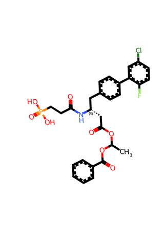 CC(OC(=O)C[C@@H](Cc1ccc(-c2cc(Cl)ccc2F)cc1)NC(=O)CCP(=O)(O)O)OC(=O)c1ccccc1